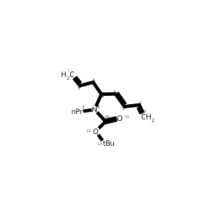 C=C/C=C/C(CC=C)N(CCC)C(=O)OC(C)(C)C